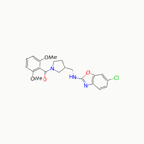 COc1cccc(OC)c1C(=O)N1CCC(CNc2nc3ccc(Cl)cc3o2)C1